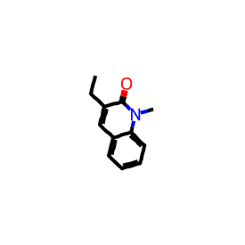 CCc1cc2ccccc2n(C)c1=O